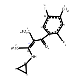 Bc1cc(F)c(C(=O)/C(C(=O)OCC)=C(\NC2CC2)SC)cc1F